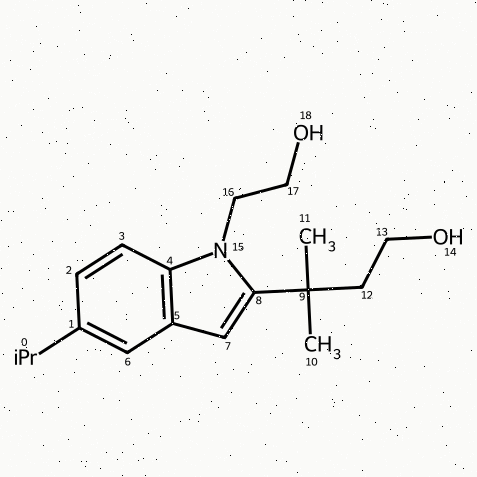 CC(C)c1ccc2c(c1)cc(C(C)(C)CCO)n2CCO